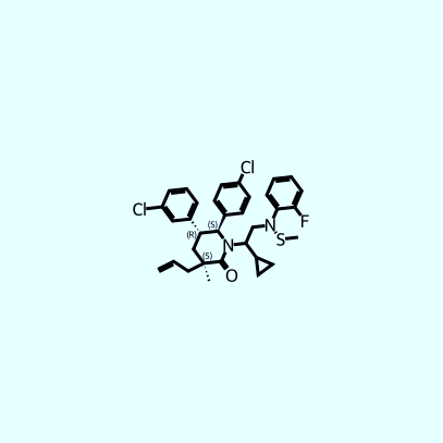 C=CC[C@@]1(C)C[C@H](c2cccc(Cl)c2)[C@@H](c2ccc(Cl)cc2)N(C(CN(SC)c2ccccc2F)C2CC2)C1=O